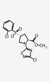 COC(=O)[C@@H]1C[C@@H](S(=O)(=O)c2ccccc2Cl)CN1c1nc(Cl)ns1